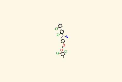 Cc1cc(Cl)c(OCCOc2ccc(CC(C#N)c3ccc(-c4ccccc4Cl)cc3Cl)cc2)c(Cl)c1